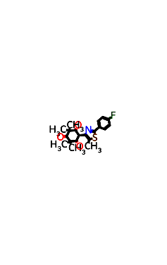 Cc1sc(-c2ccc(F)cc2)nc1C1C(=O)C(C)(C)C(=O)C(C)(C)C1=O